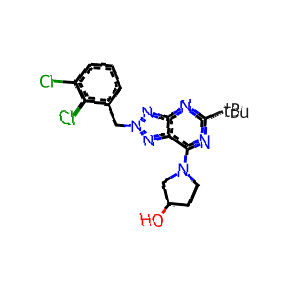 CC(C)(C)c1nc(N2CCC(O)C2)c2nn(Cc3cccc(Cl)c3Cl)nc2n1